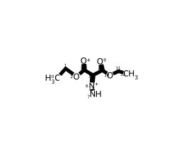 CCOC(=O)C(=[N+]=N)C(=O)OCC